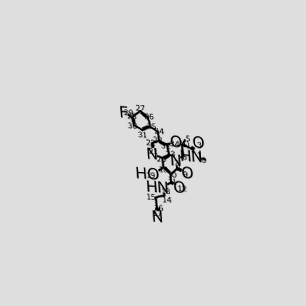 CNC(=O)[C@]1(C)Cn2c(=O)c(C(=O)NCCC#N)c(O)c3ncc(Cc4ccc(F)cc4)c(c32)O1